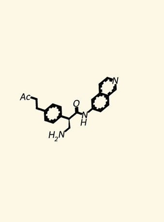 CC(=O)CCc1ccc([C@H](CN)C(=O)Nc2ccc3cnccc3c2)cc1